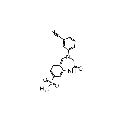 CS(=O)(=O)C1=CCC2=CN(c3cccc(C#N)c3)CC(=O)NC2=C1